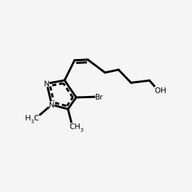 Cc1c(Br)c(/C=C\CCCCO)nn1C